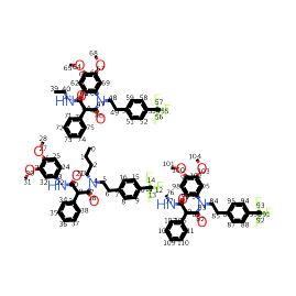 CCCCN(CCc1ccc(C(F)(F)F)cc1)C(=O)C(C(=O)Nc1ccc(OC)c(OC)c1)c1ccccc1.CCNC(=O)C(C(=O)N(CCc1ccc(C(F)(F)F)cc1)c1ccc(OC)c(OC)c1)c1ccccc1.CNC(=O)C(C(=O)N(CCc1ccc(C(F)(F)F)cc1)c1ccc(OC)c(OC)c1)c1ccccc1